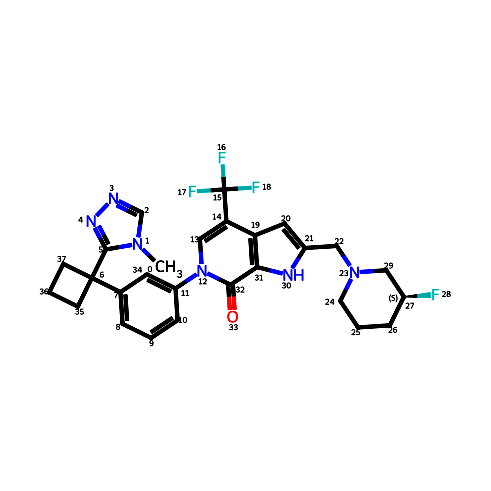 Cn1cnnc1C1(c2cccc(-n3cc(C(F)(F)F)c4cc(CN5CCC[C@H](F)C5)[nH]c4c3=O)c2)CCC1